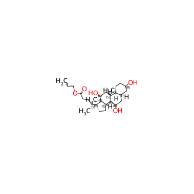 C=CCOC(=O)CC[C@@H](C)[C@H]1CC[C@H]2[C@@H]3[C@H](O)C[C@@H]4C[C@H](O)CC[C@]4(C)[C@H]3C[C@H](O)[C@]12C